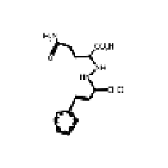 NC(=O)CC[C@H](NNC(C=O)/C=C/c1ccccc1)C(=O)O